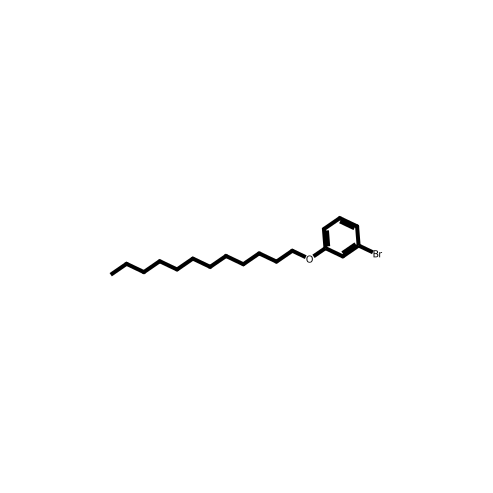 CCCCCCCCCCCCOc1cccc(Br)c1